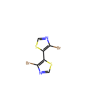 Brc1ncsc1-c1scnc1Br